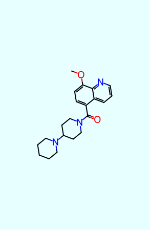 COc1ccc(C(=O)N2CCC(N3CCCCC3)CC2)c2cccnc12